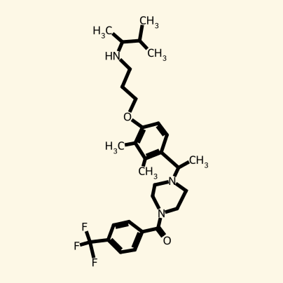 Cc1c(OCCCNC(C)C(C)C)ccc(C(C)N2CCN(C(=O)c3ccc(C(F)(F)F)cc3)CC2)c1C